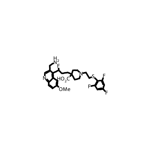 COc1ccc2ncc(CN)c(C(F)CCC3(C(=O)O)CCN(CCSc4c(F)cc(F)cc4F)CC3)c2c1